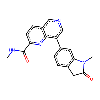 CNC(=O)c1ccc2cncc(-c3ccc4c(c3)N(C)C(=O)C4)c2n1